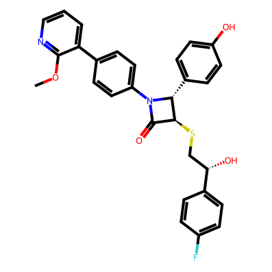 COc1ncccc1-c1ccc(N2C(=O)[C@H](SC[C@H](O)c3ccc(F)cc3)[C@H]2c2ccc(O)cc2)cc1